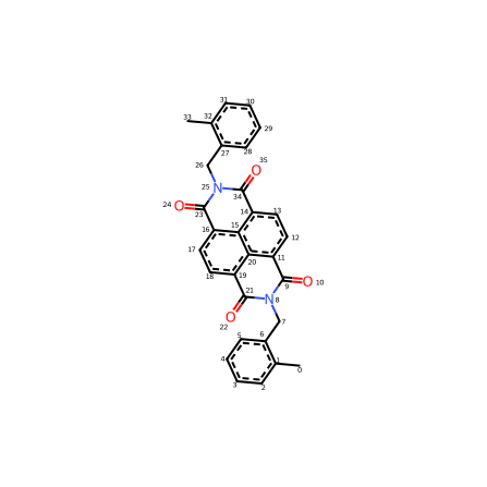 Cc1ccccc1CN1C(=O)c2ccc3c4c(ccc(c24)C1=O)C(=O)N(Cc1ccccc1C)C3=O